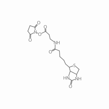 O=C(CCCCC1SCC2NC(=O)NC21)NCCC(=O)ON1C(=O)CCC1=O